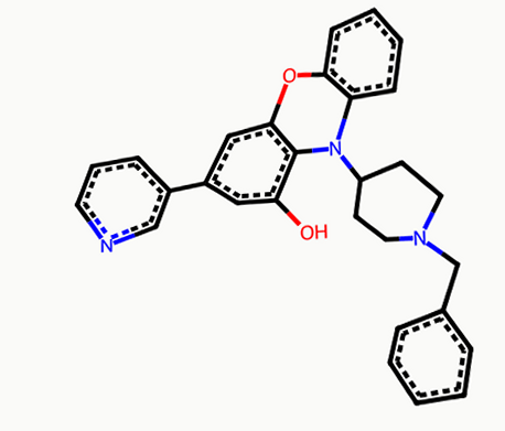 Oc1cc(-c2cccnc2)cc2c1N(C1CCN(Cc3ccccc3)CC1)c1ccccc1O2